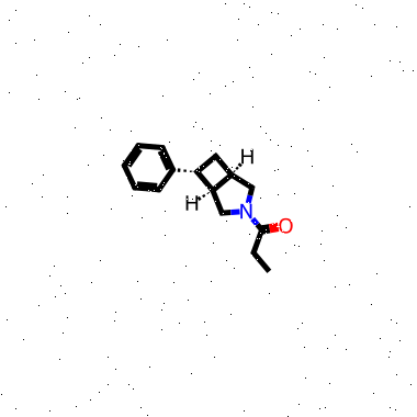 CCC(=O)N1C[C@@H]2C[C@@H](c3ccccc3)[C@@H]2C1